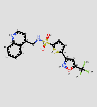 O=S(=O)(NCc1ccnc2ccccc12)c1ccc(-c2cc(C(F)(F)F)on2)s1